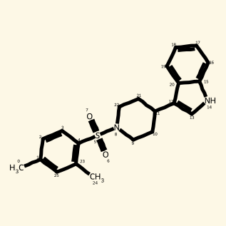 Cc1ccc(S(=O)(=O)N2CCC(c3c[nH]c4ccccc34)CC2)c(C)c1